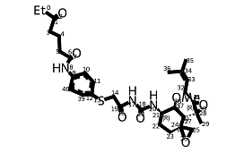 CCC(=O)CCCC(=O)Nc1ccc(SCC(=O)NC(=O)N[C@@H]2CC[C@]3(CO3)[C@@H](C3(C)O[C@@H]3CC=C(C)C)[C@@H]2OC)cc1